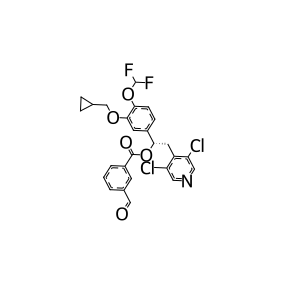 O=Cc1cccc(C(=O)O[C@@H](Cc2c(Cl)cncc2Cl)c2ccc(OC(F)F)c(OCC3CC3)c2)c1